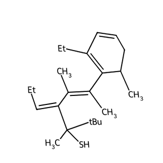 CC/C=C(\C(C)=C(/C)C1=C(CC)C=CCC1C)C(C)(S)C(C)(C)C